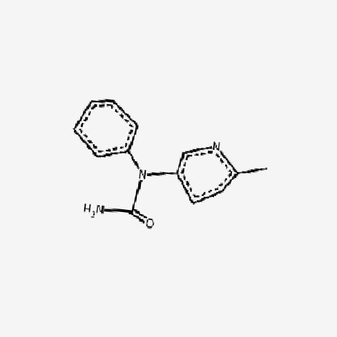 Cc1ccc(N(C(N)=O)c2ccccc2)cn1